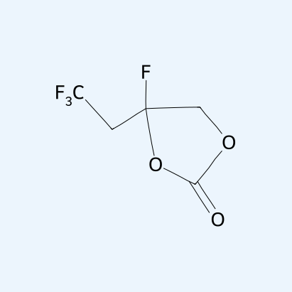 O=C1OCC(F)(CC(F)(F)F)O1